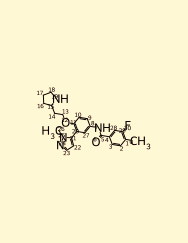 Cc1ccc(C(=O)Nc2ccc(OCCC3CCCN3)c(-c3ccnn3C)c2)cc1F